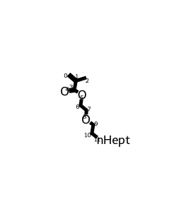 C=C(C)C(=O)OCCOCCCCCCCCC